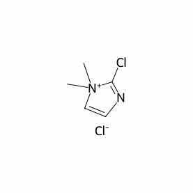 C[N+]1(C)C=CN=C1Cl.[Cl-]